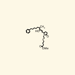 COC(=O)CCCSCCN1C(=O)CC[C@@H]1C=C[C@@H](O)[C@@H](C)CCCCCc1ccccc1